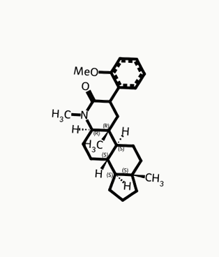 COc1ccccc1C1C[C@]2(C)[C@H]3CC[C@]4(C)CCC[C@H]4[C@@H]3CC[C@H]2N(C)C1=O